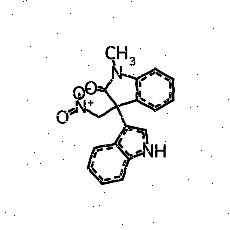 CN1C(=O)C(C[N+](=O)[O-])(c2c[nH]c3ccccc23)c2ccccc21